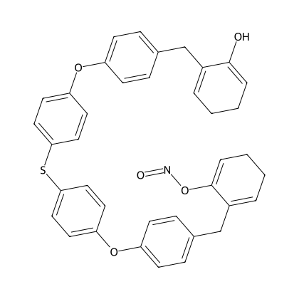 O=NOC1=CCCC=C1Cc1ccc(Oc2ccc(Sc3ccc(Oc4ccc(CC5=CCCC=C5O)cc4)cc3)cc2)cc1